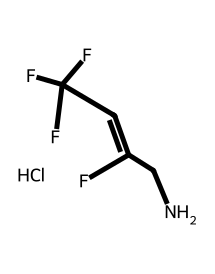 Cl.NCC(F)=CC(F)(F)F